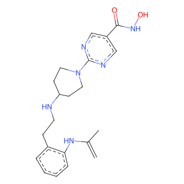 C=C(C)Nc1ccccc1CCNC1CCN(c2ncc(C(=O)NO)cn2)CC1